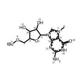 C[n+]1cn(C2OC(COC(C)(C)C)C(O)C2O)c2nc(N)[nH]c(=O)c21